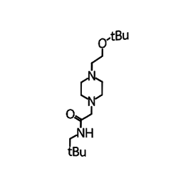 CC(C)(C)CNC(=O)CN1CCN(CCOC(C)(C)C)CC1